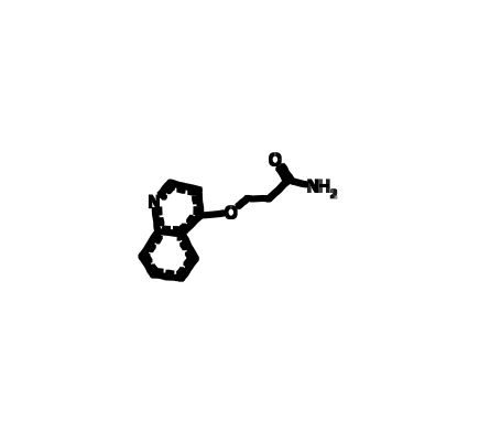 NC(=O)CCOc1ccnc2ccccc12